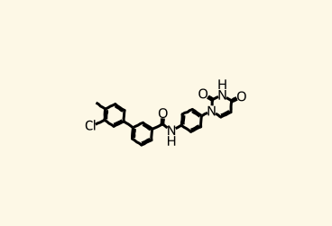 Cc1ccc(-c2cccc(C(=O)Nc3ccc(-n4ccc(=O)[nH]c4=O)cc3)c2)cc1Cl